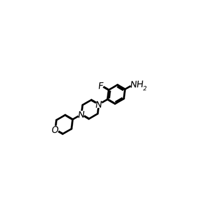 Nc1ccc(N2CCN(C3CCOCC3)CC2)c(F)c1